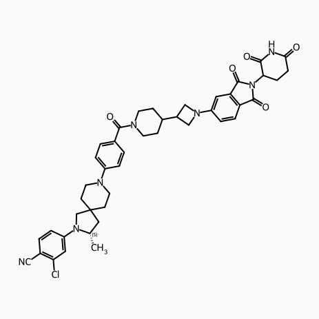 C[C@H]1CC2(CCN(c3ccc(C(=O)N4CCC(C5CN(c6ccc7c(c6)C(=O)N(C6CCC(=O)NC6=O)C7=O)C5)CC4)cc3)CC2)CN1c1ccc(C#N)c(Cl)c1